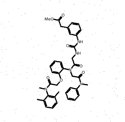 COC(=O)Cc1cccc(NC(=O)NCC(=O)N(CC(=O)N(C)c2ccccc2)c2ccccc2OCC(=O)N(C)c2c(C)cccc2C)c1